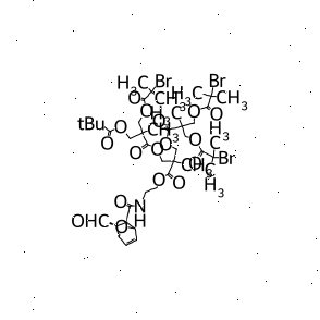 CC(C)(C)C(=O)OCC(C)(COC(=O)C(C)(C)Br)C(=O)OCC(C)(COC(=O)C(C)(COC(=O)C(C)(C)Br)COC(=O)C(C)(C)Br)C(=O)OCCNC(=O)[C@H]1C2C=CC(O2)[C@H]1C=O